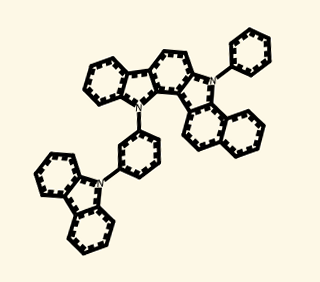 c1ccc(-n2c3ccc4c5ccccc5n(-c5cccc(-n6c7ccccc7c7ccccc76)c5)c4c3c3ccc4ccccc4c32)cc1